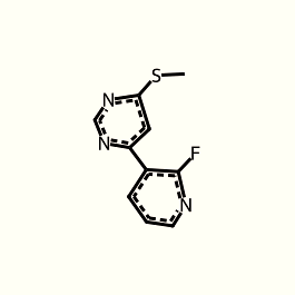 CSc1cc(-c2cccnc2F)ncn1